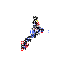 C=CC(=O)Nc1cc(Nc2nc(-c3ccnc(N4CCc5c(sc6c5CCCC6)C4=O)c3CO)cnc2C(N)=O)ccc1N1CCN(C2CCN(c3ccc4c(c3)C(=O)N(C3CCC(=O)N(C)C3=O)C4=O)[C@@H](C)C2)C[C@@H]1C